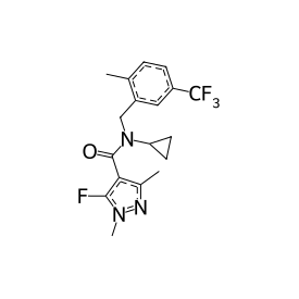 Cc1ccc(C(F)(F)F)cc1CN(C(=O)c1c(C)nn(C)c1F)C1CC1